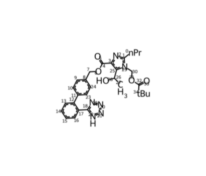 CCCc1nc(C(=O)OCc2ccc(-c3ccccc3-c3nnn[nH]3)cc2)c(C(C)O)n1COC(=O)C(C)(C)C